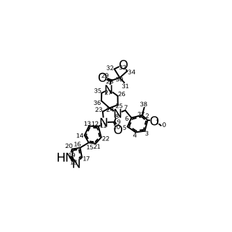 COc1cccc(CN2C(=O)N(c3ccc(-c4cn[nH]c4)cc3)CC23CCN(C(=O)C2(C)COC2)CC3)c1C